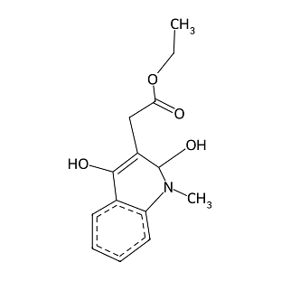 CCOC(=O)CC1=C(O)c2ccccc2N(C)C1O